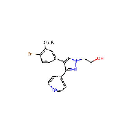 O=C(O)c1cc(-c2cn(CCO)nc2-c2ccncc2)ccc1Br